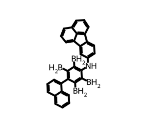 Bc1c(B)c(-c2cccc3ccccc23)c(B)c(B)c1Nc1ccc2c(c1)-c1cccc3cccc-2c13